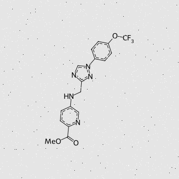 COC(=O)c1ccc(NCc2ncn(-c3ccc(OC(F)(F)F)cc3)n2)cn1